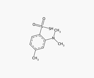 Cc1ccc(S(=O)(=O)S)c(N(C)C)c1